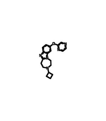 c1cnc(Oc2ccc3nc4n(c3c2)CCN(C2CCC2)CC4)cn1